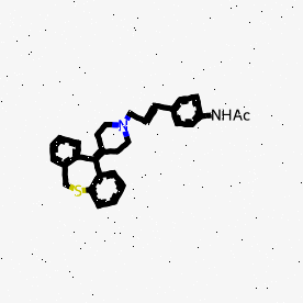 CC(=O)Nc1ccc(C=CCN2CCC(=C3c4ccccc4CSc4ccccc43)CC2)cc1